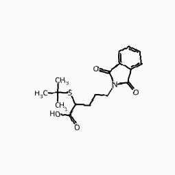 CC(C)(C)SC(CCCN1C(=O)c2ccccc2C1=O)C(=O)O